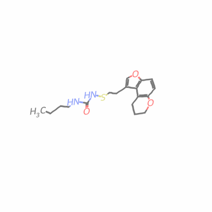 CCCCNC(=O)NSCCc1coc2ccc3c(c12)CCCO3